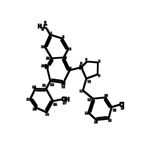 Cc1ccc2c(N3CCCC3Cc3cccc(Cl)c3)nc(-c3ccccc3O)nc2c1